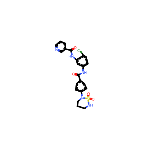 O=C(Nc1ccc(Cl)c(NC(=O)c2cccnc2)c1)c1ccc(N2CCCNS2(=O)=O)cc1